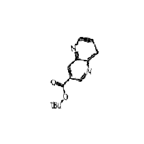 CC(C)(C)OC(=O)c1cnc2cccnc2c1